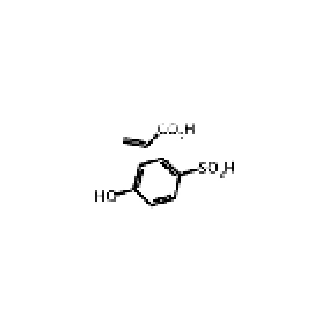 C=CC(=O)O.O=S(=O)(O)c1ccc(O)cc1